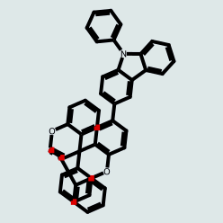 c1ccc(-c2cccc3c2C2(c4ccccc4Oc4ccc(-c5ccc6c(c5)c5ccccc5n6-c5ccccc5)cc42)c2ccccc2O3)cc1